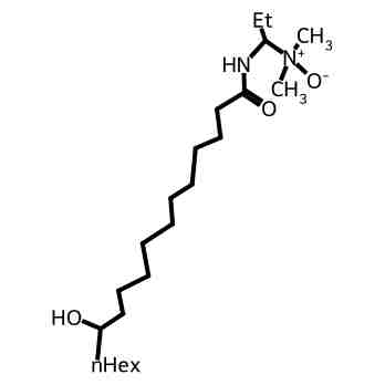 CCCCCCC(O)CCCCCCCCCCC(=O)NC(CC)[N+](C)(C)[O-]